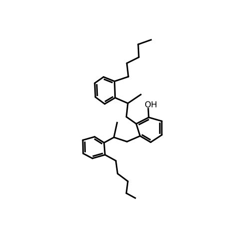 CCCCCc1ccccc1C(C)Cc1cccc(O)c1CC(C)c1ccccc1CCCCC